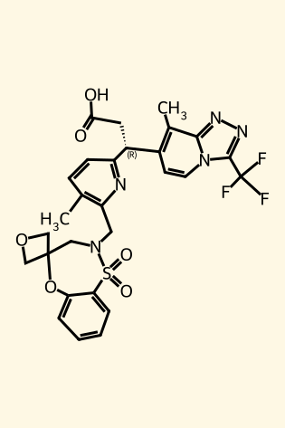 Cc1ccc([C@H](CC(=O)O)c2ccn3c(C(F)(F)F)nnc3c2C)nc1CN1CC2(COC2)Oc2ccccc2S1(=O)=O